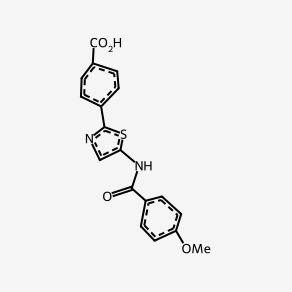 COc1ccc(C(=O)Nc2cnc(-c3ccc(C(=O)O)cc3)s2)cc1